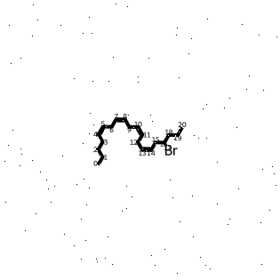 CCCC/C=C\C/C=C\C/C=C\C/C=C\C[C@H](Br)CCC